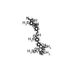 COC(=O)C[C@@H]1N=C(c2ccc(-c3ccc(C(=O)NCCc4ccc(S(=O)(=O)Nc5ccc(C)c6c(C#N)c[nH]c56)cc4)c(C)c3)cc2)c2c(sc(C)c2C)-n2c(C)nnc21